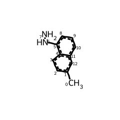 Cc1ccc2c(NN)cccc2c1